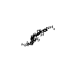 Cc1nc(Cn2cc(-c3cnc(C(=O)Nc4ccc(C(=O)N[C@H]5CC[C@@H](N)CC5)c(Cl)c4)n3C)c(C(F)(F)F)n2)cs1